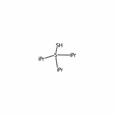 CC(C)S(S)(C(C)C)C(C)C